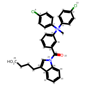 C[N+](c1ccc(Cl)cc1)(c1ccc(Cl)cc1)c1cccc(C(=O)n2cc(CCCC(=O)O)c3ccccc32)c1